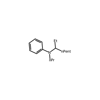 CCCCCC(CC)N(CCC)c1ccccc1